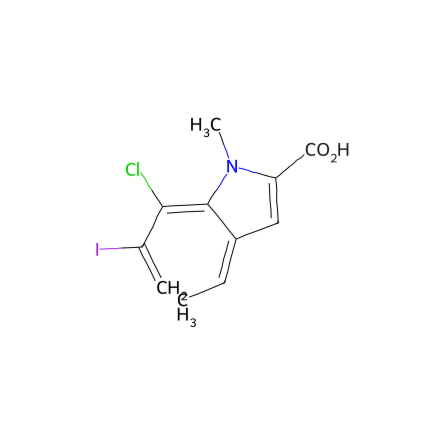 C=C(I)/C(Cl)=c1\c(=C/C)cc(C(=O)O)n1C